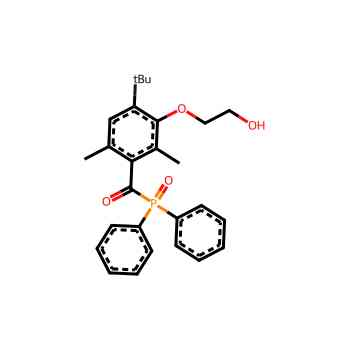 Cc1cc(C(C)(C)C)c(OCCO)c(C)c1C(=O)P(=O)(c1ccccc1)c1ccccc1